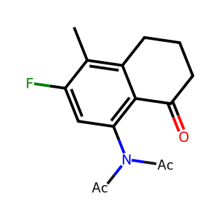 CC(=O)N(C(C)=O)c1cc(F)c(C)c2c1C(=O)CCC2